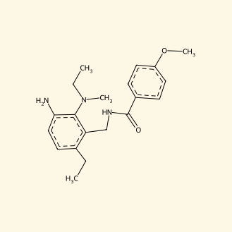 CCc1ccc(N)c(N(C)CC)c1CNC(=O)c1ccc(OC)cc1